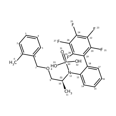 Cc1ccccc1COC[C@H](C)N(c1ccccc1-c1c(F)c(F)c(F)c(F)c1F)P(=O)(O)O